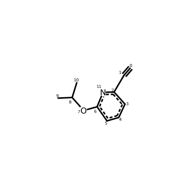 C#Cc1cccc(OC(C)C)n1